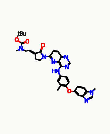 Cc1cc(Nc2ncnc3ccc(N4CC/C(=C\CN(C)C(=O)OC(C)(C)C)C4=O)nc23)ccc1Oc1ccc2c(c1)ncn2C